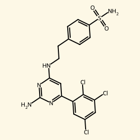 Nc1nc(NCCc2ccc(S(N)(=O)=O)cc2)cc(-c2cc(Cl)cc(Cl)c2Cl)n1